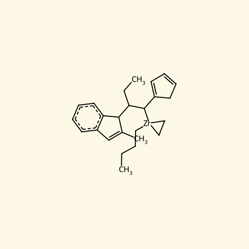 CCC[CH2][Zr]1([CH](C2=CC=CC2)C(CC)C2C(C)=Cc3ccccc32)[CH2][CH2]1